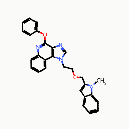 Cn1c(COCCn2cnc3c(Oc4ccccc4)nc4ccccc4c32)cc2ccccc21